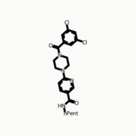 CCCCCNC(=O)c1ccc(N2CCN(C(=O)c3cc(Cl)cc(Cl)c3)CC2)nc1